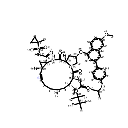 CC[C@@H]1C[C@H](C)CC/C=C\[C@@H]2C[C@@]2(C(=O)NS(=O)(=O)C2(C)CC2)NC(=O)[C@@H]2C[C@@H](Oc3nc(-c4ccc(OC(C)C)cn4)cc4cc(OC)ccc34)CN2C(=O)[C@H]1NC(=O)OC(C)(C)C(C)(F)F